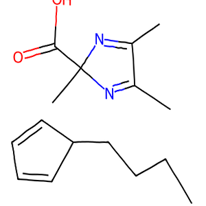 CC1=NC(C)(C(=O)O)N=C1C.CCCCC1C=CC=C1